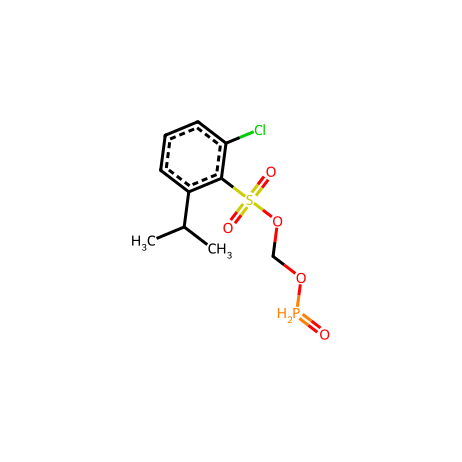 CC(C)c1cccc(Cl)c1S(=O)(=O)OCO[PH2]=O